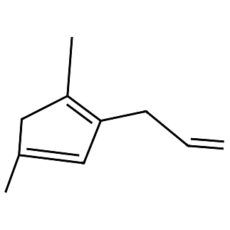 C=CCC1=C(C)CC(C)=C1